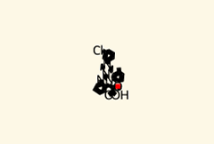 COc1ccc(C)cc1N1C(N2CCN(c3cccc(Cl)c3)CC2)=Nc2ccccc2C1C(C)C(=O)O